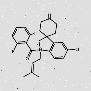 CC(C)=CC[N+]1(C(=O)c2c(F)cccc2F)CC2(CCNCC2)c2cc(Cl)ccc21